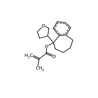 C=C(C)C(=O)OC1(C2CCOC2)CCCCc2ccccc21